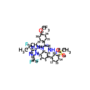 CC(C)(F)c1cn(-c2ccc(-c3cccc(S(C)(=O)=O)c3)cc2N(N)/C(=C\N)c2ccc(OC(F)(F)F)cc2)c(C(F)F)n1